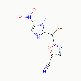 Cn1c([N+](=O)[O-])cnc1C(S)c1ncc(C#N)o1